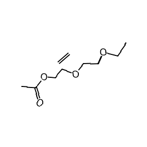 C=C.CCOCCOCCOC(C)=O